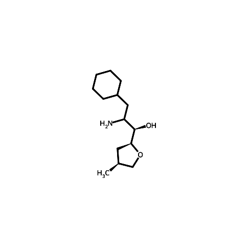 C[C@@H]1CO[C@H]([C@H](O)C(N)CC2CCCCC2)C1